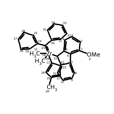 COc1cccc2c1-c1ccccc1[CH]2[Zr]([CH3])([CH3])([C]1=CC(C)=CC1)=[C](c1ccccc1)c1ccccc1